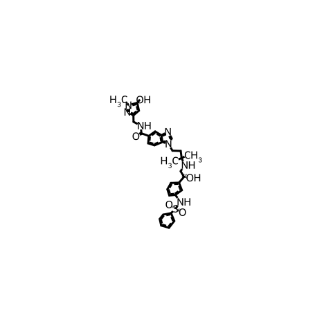 Cn1nc(CNC(=O)c2ccc3c(c2)ncn3CCC(C)(C)NC[C@H](O)c2cccc(NS(=O)(=O)c3ccccc3)c2)cc1O